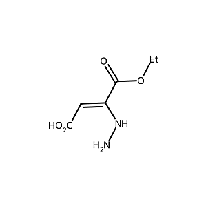 CCOC(=O)C(=CC(=O)O)NN